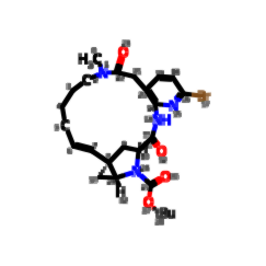 CN1CCCC/C=C/[C@@]23C[C@@H](C(=O)Nc4nc(Br)ccc4CC1=O)N(C(=O)OC(C)(C)C)[C@@H]2C3